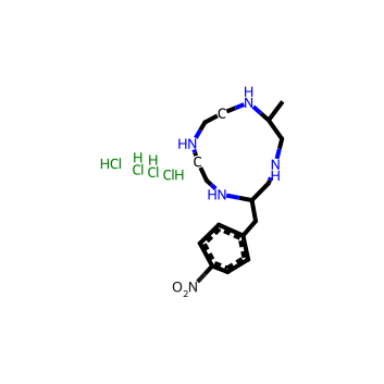 CC1CNCC(Cc2ccc([N+](=O)[O-])cc2)NCCNCCN1.Cl.Cl.Cl.Cl